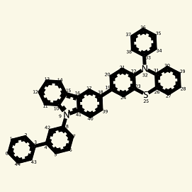 c1ccc(-c2cccc(-n3c4ccccc4c4cc(-c5ccc6c(c5)Sc5ccccc5N6c5ccccc5)ccc43)c2)cc1